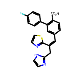 O=C(O)c1ccc(C=C(Cc2ncc[nH]2)c2nccs2)cc1-c1ccc(F)cc1